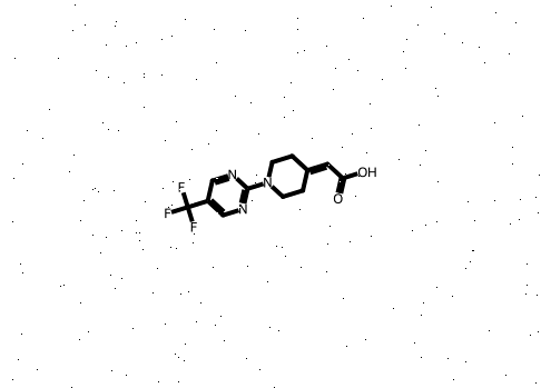 O=C(O)C=C1CCN(c2ncc(C(F)(F)F)cn2)CC1